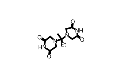 CCC(C)(N1CC(=O)NC(=O)C1)N1CC(=O)NC(=O)C1